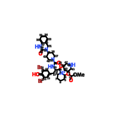 COC(=O)OC1CCCC[N@@+]1(C(=O)[C@@H](Cc1cc(Br)c(O)c(Br)c1)NC(=O)N1CCC(N2Cc3ccccc3NC2=O)CC1)C1CCNCC1